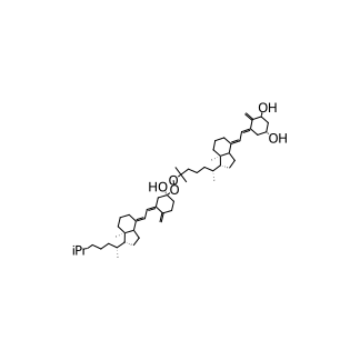 C=C1CC[C@](O)(OOC(C)(C)CCC[C@@H](C)[C@H]2CCC3C(=CC=C4C[C@@H](O)C[C@H](O)C4=C)CCC[C@@]32C)C/C1=C/C=C1CCC[C@@]2(C)C1CC[C@@H]2[C@H](C)CCCC(C)C